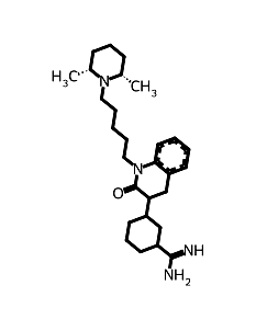 C[C@@H]1CCC[C@H](C)N1CCCCCN1C(=O)C(C2CCCC(C(=N)N)C2)Cc2ccccc21